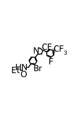 CCC(=O)NCc1ccc(C2=NCC(c3cc(F)cc(C(F)(F)F)c3)(C(F)(F)F)C2)cc1Br